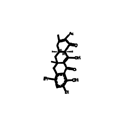 CCc1cc(C(C)C)c2c(c1O)C(=O)C1=C(O)[C@]3(C)C(=O)C(C(C)=O)=C(C)C[C@]3(C)CC1(C)C2